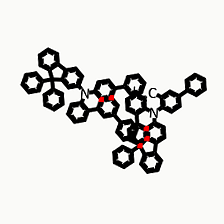 Cc1cc(-c2ccccc2)ccc1N(c1ccc2c(c1)C(c1ccccc1)(c1ccc(-c3cccc(-c4ccccc4N(c4ccc(-c5ccccc5)cc4)c4ccc5c(c4)C(c4ccccc4)(c4ccccc4)c4ccccc4-5)c3)cc1)c1ccccc1-2)c1ccccc1-c1ccccc1